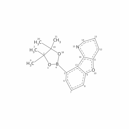 CC1(C)OB(c2cccc3oc4cccnc4c23)OC1(C)C